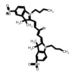 CCCCN1/C(=C/C=C(Br)/C=C/C2=[N+](CCCC)c3ccc([SH](=O)=O)cc3C2(C)C)C(C)(C)c2cc([SH](=O)=O)ccc21